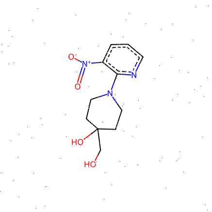 O=[N+]([O-])c1cccnc1N1CCC(O)(CO)CC1